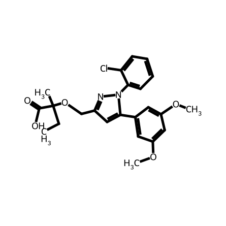 CCC(C)(OCc1cc(-c2cc(OC)cc(OC)c2)n(-c2ccccc2Cl)n1)C(=O)O